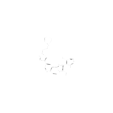 OCc1c(-c2c(Cl)cccc2Cl)nc2c3cc(-c4cnn(CCN5CCOCC5)c4)cnc3ccn12